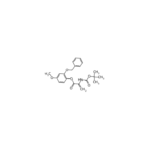 C=C(NC(=O)OC(C)(C)C)C(=O)Oc1ccc(OC)cc1OCc1ccccc1